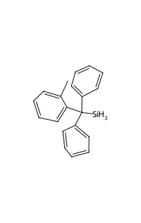 Cc1ccccc1C([SiH3])(c1ccccc1)c1ccccc1